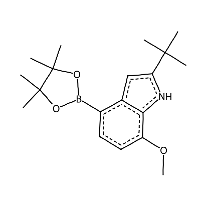 COc1ccc(B2OC(C)(C)C(C)(C)O2)c2cc(C(C)(C)C)[nH]c12